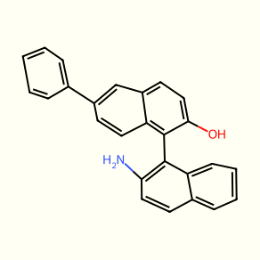 Nc1ccc2ccccc2c1-c1c(O)ccc2cc(-c3ccccc3)ccc12